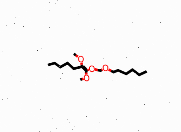 CCCCCCOCOC(OC)=C(CCCCC)OC